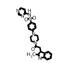 CC1=Nc2ccccc2C1CC(=O)N1CCN(c2ccc(S(=O)(=O)Nc3ccncn3)cc2)CC1